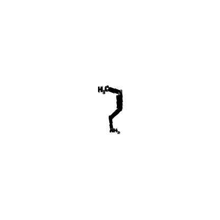 C/N=C\CN